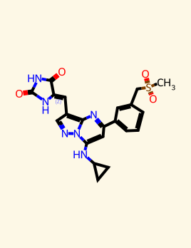 CS(=O)(=O)Cc1cccc(-c2cc(NC3CC3)n3ncc(/C=C4\NC(=O)NC4=O)c3n2)c1